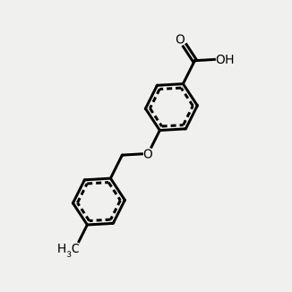 Cc1ccc(COc2ccc(C(=O)O)cc2)cc1